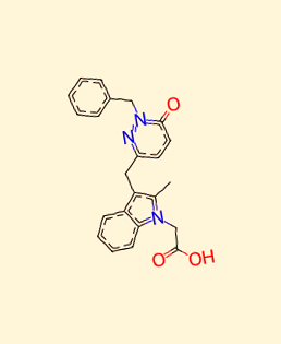 Cc1c(Cc2ccc(=O)n(Cc3ccccc3)n2)c2ccccc2n1CC(=O)O